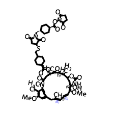 COc1cc2cc(c1Cl)N(C)C(=O)C[C@H](OC(=O)C1CCC(CSC3CC(=O)N(C[C@H]4CC[C@H](C(=O)ON5C(=O)CCC5=O)CC4)C3=O)CC1)[C@]1(C)O[C@H]1[C@H](C)C1C[C@@](O)(NC(=O)O1)[C@H](OC)/C=C/C=C(\C)C2